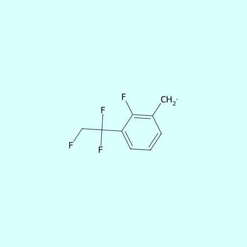 [CH2]c1cccc(C(F)(F)CF)c1F